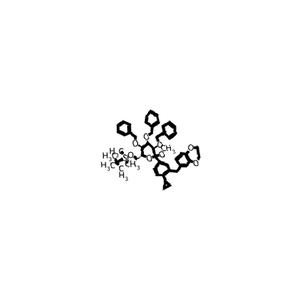 COC1(c2ccc(C3CC3)c(Cc3ccc4c(c3)OCCO4)c2)O[C@H](CO[Si](C)(C)C(C)(C)C)[C@@H](OCc2ccccc2)[C@H](OCc2ccccc2)[C@H]1OCc1ccccc1